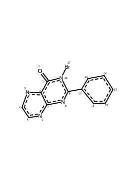 O=c1c2nccnc2nc(-c2ccccc2)n1Br